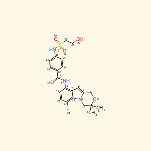 CC1(C)Cn2c(cc3c(NC(=O)c4ccc(NS(=O)(=O)CCO)cc4)ccc(F)c32)CO1